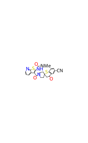 CNC(=O)Nc1sc2ncccc2c1C(=O)N1CCC2(CC1)CC(=O)c1cc(C#N)ccc1S2